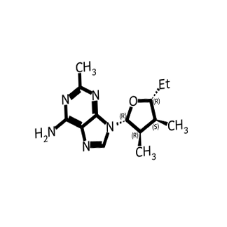 CC[C@H]1O[C@@H](n2cnc3c(N)nc(C)nc32)[C@H](C)[C@@H]1C